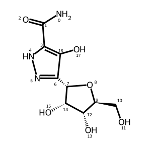 NC(=O)c1[nH]nc([C@@H]2O[C@@H](CO)[C@H](O)[C@@H]2O)c1O